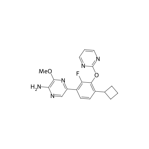 COc1nc(-c2ccc(C3CCC3)c(Oc3ncccn3)c2F)cnc1N